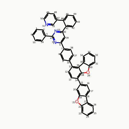 c1ccc(-c2nc(-c3ccc(-c4ccc(-c5ccc6c(c5)oc5ccccc56)c5oc6ccccc6c45)cc3)cc(-c3ccccc3-c3cccnc3)n2)cc1